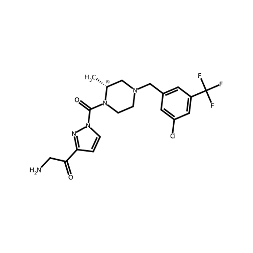 C[C@@H]1CN(Cc2cc(Cl)cc(C(F)(F)F)c2)CCN1C(=O)n1ccc(C(=O)CN)n1